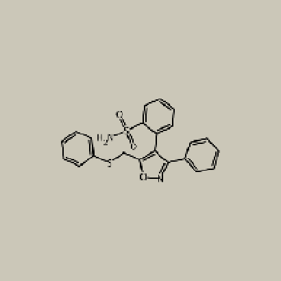 NS(=O)(=O)c1ccccc1-c1c(-c2ccccc2)noc1CSc1ccccc1